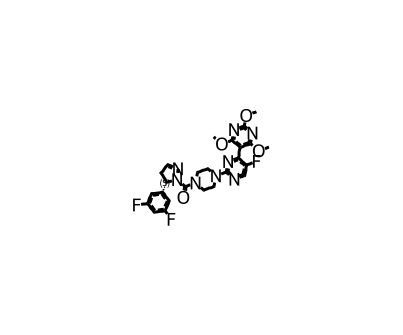 COc1nc(OC)c(-c2nc(N3CCN(C(=O)N4N=CC[C@H]4c4cc(F)cc(F)c4)CC3)ncc2F)c(OC)n1